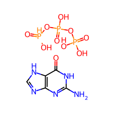 Nc1nc2nc[nH]c2c(=O)[nH]1.O=[PH](O)OP(=O)(O)OP(=O)(O)O